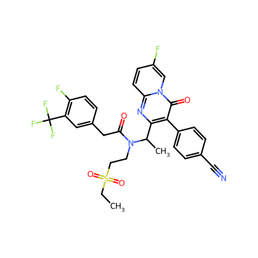 CCS(=O)(=O)CCN(C(=O)Cc1ccc(F)c(C(F)(F)F)c1)C(C)c1nc2ccc(F)cn2c(=O)c1-c1ccc(C#N)cc1